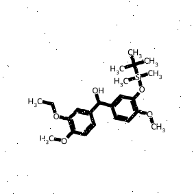 CCOc1cc(C(O)c2ccc(OC)c(O[Si](C)(C)C(C)(C)C)c2)ccc1OC